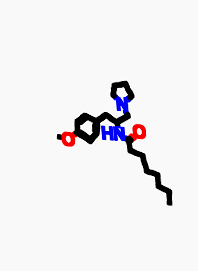 CCCCCCCC(=O)NC(Cc1ccc(OC)cc1)CN1CCCC1